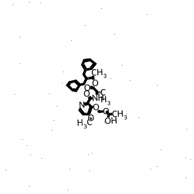 COc1ccnc(C(=O)N[C@@H](C)C(=O)OC(C)C(Cc2ccccc2)Cc2ccccc2)c1OCOC(C)O